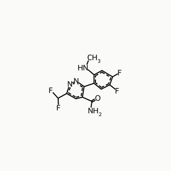 CNc1cc(F)c(F)cc1-c1nnc(C(F)F)cc1C(N)=O